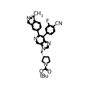 Cn1ncc2cc(-c3ncc4c(ncn4C[C@@H]4CCN(C(=O)OC(C)(C)C)C4)c3-c3ccc(C#N)c(F)c3)ccc21